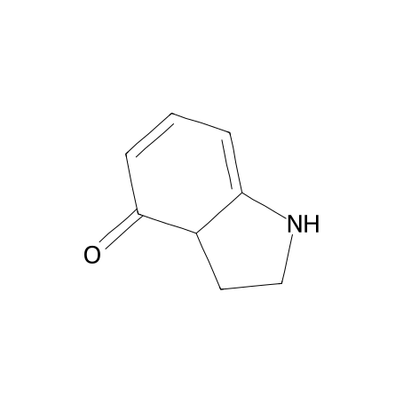 O=C1C=CC=C2NCCC12